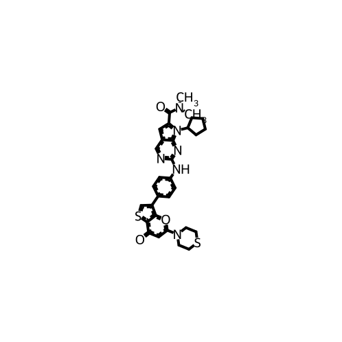 CN(C)C(=O)c1cc2cnc(Nc3ccc(-c4csc5c(=O)cc(N6CCSCC6)oc45)cc3)nc2n1C1CCCC1